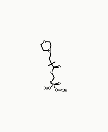 CC(C)COP(=O)(OC(C)(C)C)SCOC(=O)C(C)(C)CCN1CCOCC1